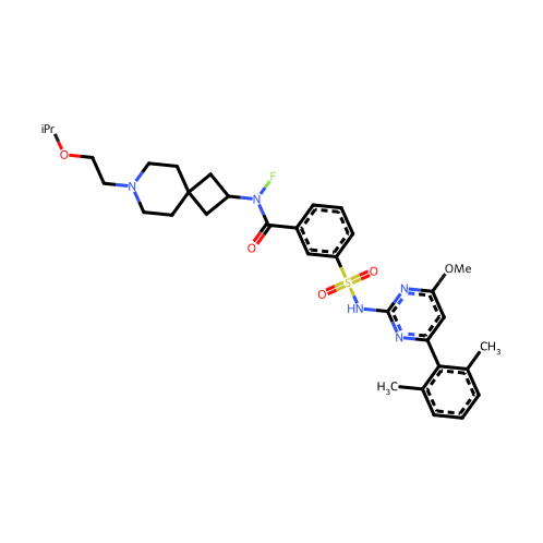 COc1cc(-c2c(C)cccc2C)nc(NS(=O)(=O)c2cccc(C(=O)N(F)C3CC4(CCN(CCOC(C)C)CC4)C3)c2)n1